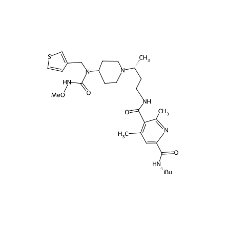 CC[C@@H](C)NC(=O)c1cc(C)c(C(=O)NCC[C@@H](C)N2CCC(N(Cc3ccsc3)C(=O)NOC)CC2)c(C)n1